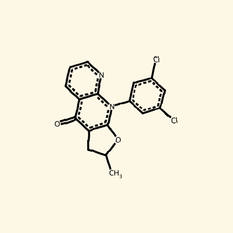 CC1Cc2c(n(-c3cc(Cl)cc(Cl)c3)c3ncccc3c2=O)O1